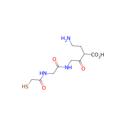 NCCC(C(=O)O)C(=O)CNC(=O)CNC(=O)CS